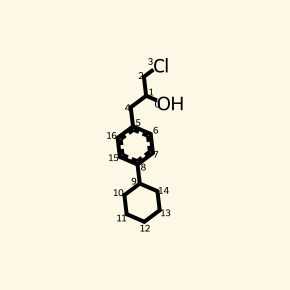 OC(CCl)Cc1ccc(C2CCCCC2)cc1